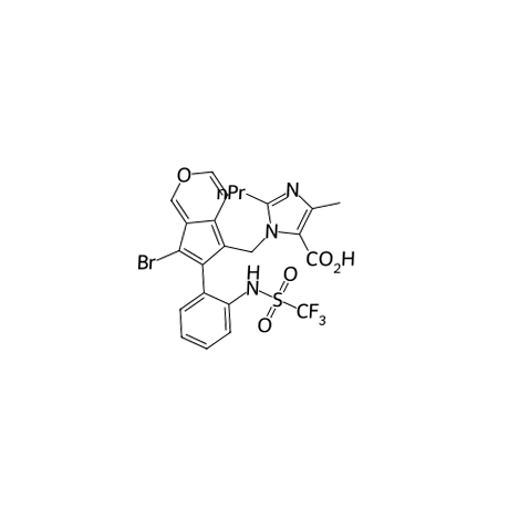 CCCc1nc(C)c(C(=O)O)n1Cc1c2ccocc-2c(Br)c1-c1ccccc1NS(=O)(=O)C(F)(F)F